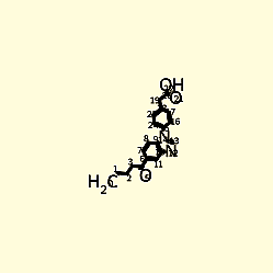 C=CCCC(=O)c1ccc2c(c1)ncn2-c1ccc(CC(=O)O)cc1